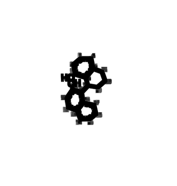 Oc1cccc2c1C(c1c(O)ccc3ccccc13)CCC2